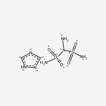 NN(S(N)(=O)=O)S(N)(=O)=O.c1nc[nH]n1